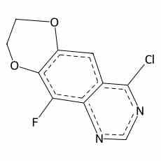 Fc1c2c(cc3c(Cl)ncnc13)OCCO2